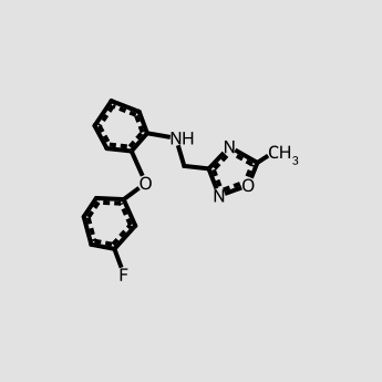 Cc1nc(CNc2ccccc2Oc2cccc(F)c2)no1